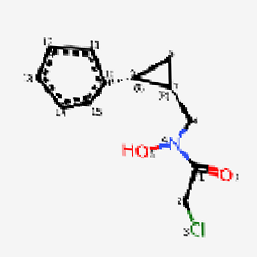 O=C(CCl)N(O)C[C@@H]1C[C@H]1c1ccccc1